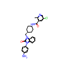 Cc1ncc(Cl)cc1C(=O)N[C@H]1CC[C@H](Cn2c(=O)n(-c3ccc(N)cc3)c3ccccc32)CC1